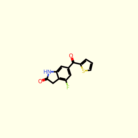 O=C1Cc2c(F)cc(C(=O)c3cccs3)cc2N1